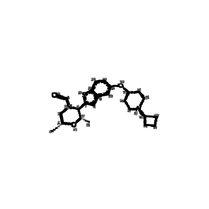 C[C@@H]1CN(C=O)C(c2cc3cc(OC4CCN(C5CCC5)CC4)ccc3s2)[C@H](C)O1